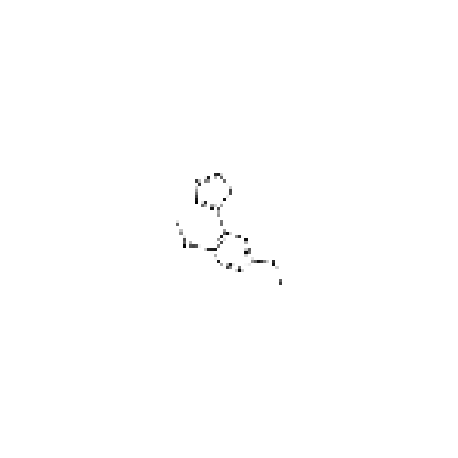 COc1ccc(OC)c(-c2cc[c]s2)c1